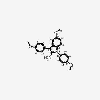 COc1ccc(-c2c(N)n(-c3ccc(OC)cc3)c3ccc(OC)cc23)cc1